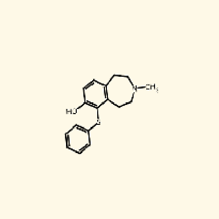 CN1CCc2ccc(O)c(Sc3ccccc3)c2CC1